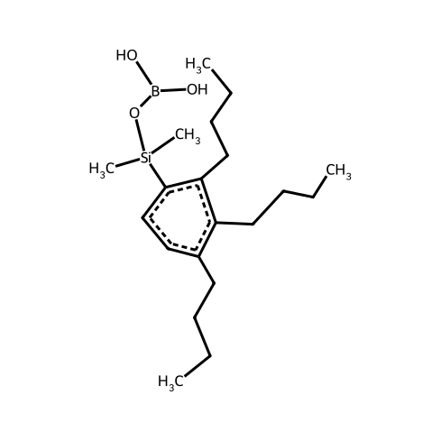 CCCCc1ccc([Si](C)(C)OB(O)O)c(CCCC)c1CCCC